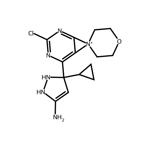 NC1=CC(c2nc(Cl)nc3c2[N+]32CCOCC2)(C2CC2)NN1